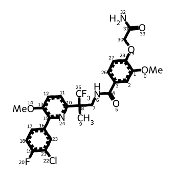 COc1cc(C(=O)NCC(C)(c2ccc(OC)c(-c3ccc(F)c(Cl)c3)n2)C(F)(F)F)ccc1OCC(N)=O